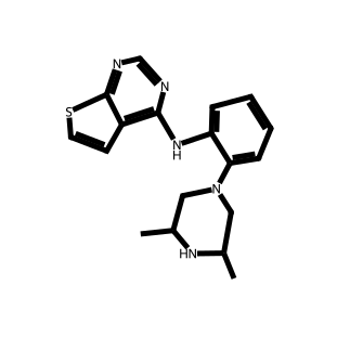 CC1CN(c2ccccc2Nc2ncnc3sccc23)CC(C)N1